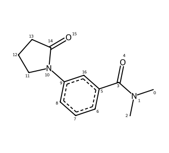 CN(C)C(=O)c1cccc(N2CCCC2=O)c1